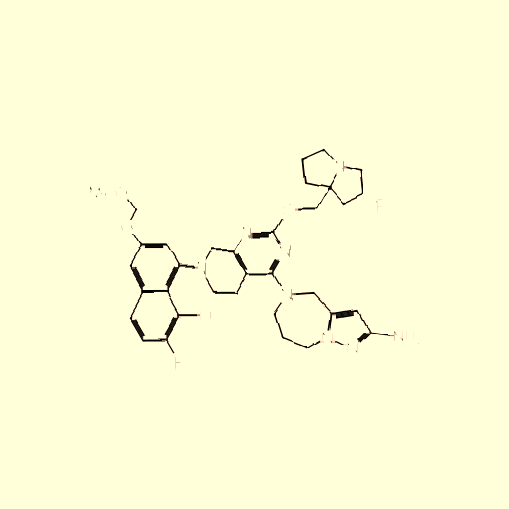 CCc1c(F)ccc2cc(OCOC)cc(N3CCc4c(nc(OCC56CCCN5C[C@H](F)C6)nc4N4CCCn5nc(N)cc5C4)C3)c12